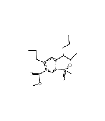 CCCc1cc(C(CC)CCC)c(S(C)(=O)=O)cc1C(=O)OC